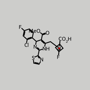 COC(=O)C1=C(CN2CC3(F)CC2(C(=O)O)C3)NC(c2nccs2)=NC1c1ccc(F)cc1Cl